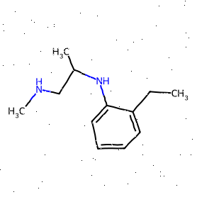 CCc1ccccc1NC(C)CNC